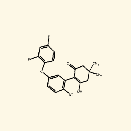 CCc1ccc(Oc2ccc(F)cc2F)cc1C1=C(O)CC(C)(C)CC1=O